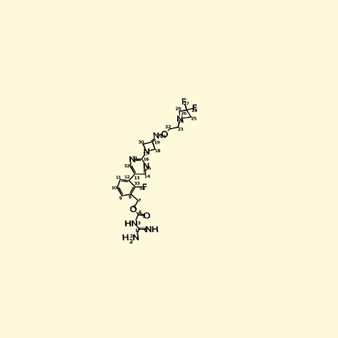 N=C(N)NC(=O)OCc1cccc(-c2cnc(N3CC(=NOCCN4CC(F)(F)C4)C3)nc2)c1F